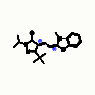 CC(C)N1N=C(C(C)(C)C)/C(=C\C=C2\Oc3ccccc3N2C)C1=O